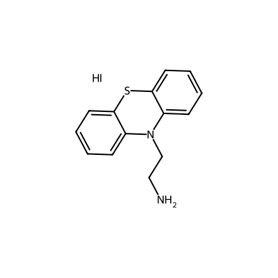 I.NCCN1c2ccccc2Sc2ccccc21